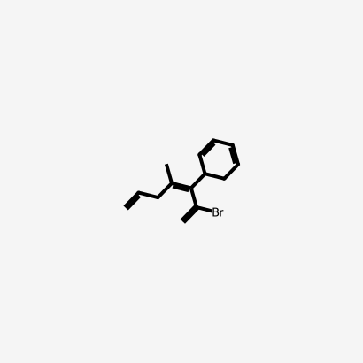 C=CC/C(C)=C(\C(=C)Br)C1C=CC=CC1